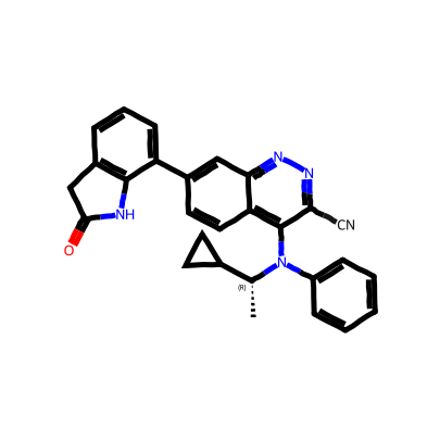 C[C@H](C1CC1)N(c1ccccc1)c1c(C#N)nnc2cc(-c3cccc4c3NC(=O)C4)ccc12